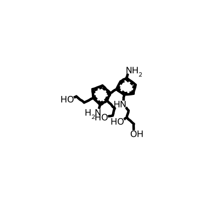 Nc1ccc(NCC(O)CO)c(-c2ccc(CCO)c(N)c2CCO)c1